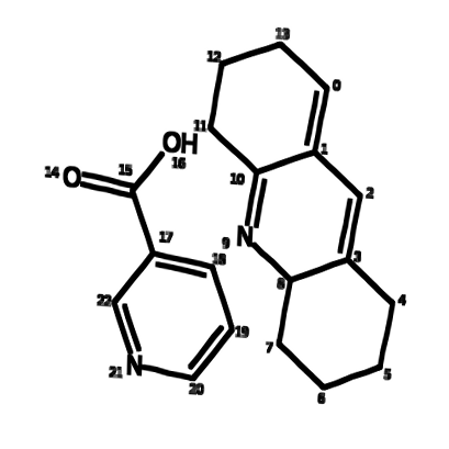 C1=C2C=C3CCCCC3N=C2CCC1.O=C(O)c1cccnc1